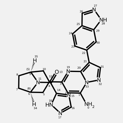 Nc1cc(C2C[C@H]3CC[C@@H](C2)N3C(=O)c2ncn[nH]2)nc2c(-c3ccc4cn[nH]c4c3)cnn12